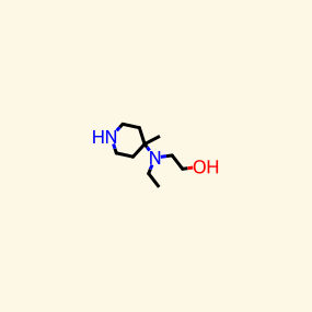 CCN(CCO)C1(C)CCNCC1